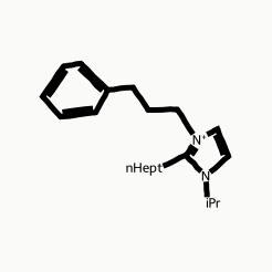 CCCCCCCc1n(C(C)C)cc[n+]1CCCc1ccccc1